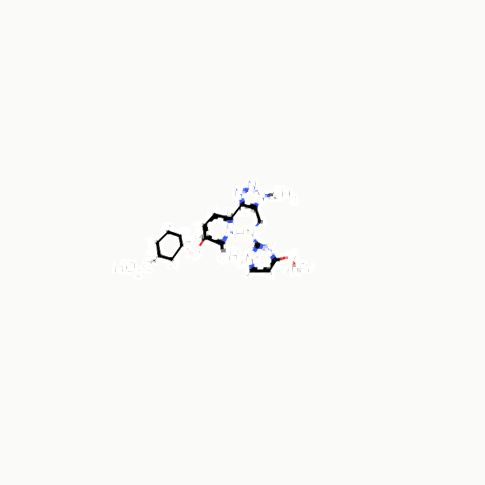 CCCOc1ccnc(NCc2c(-c3ccc(O[C@H]4CCC[C@H](C(=O)O)C4)c(C)n3)nnn2C)n1